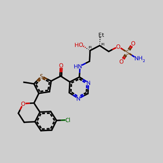 CC[C@H](COS(N)(=O)=O)[C@@H](O)CNc1ncncc1C(=O)c1cc(C2OCCc3ccc(Cl)cc32)c(C)s1